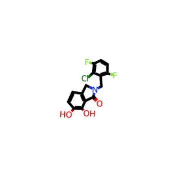 O=C1c2c(ccc(O)c2O)CN1Cc1c(F)ccc(F)c1Cl